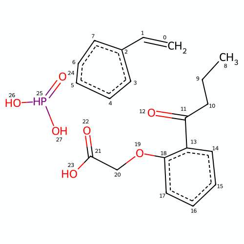 C=Cc1ccccc1.CCCC(=O)c1ccccc1OCC(=O)O.O=[PH](O)O